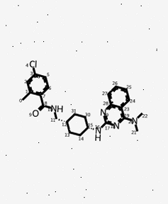 Cc1cc(Cl)ccc1C(=O)NC[C@H]1CC[C@@H](Nc2nc(N(C)C)c3ccccc3n2)CC1